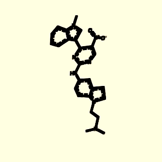 CN(C)CCn1ccc2cc(Nc3ncc([N+](=O)[O-])c(-c4cn(C)c5ccccc45)n3)ccc21